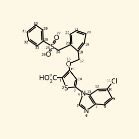 O=C(O)c1sc(-n2cnc3ccc(Cl)cc32)cc1OCc1ccccc1CS(=O)(=O)c1ccccc1